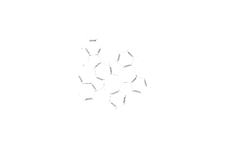 C=Cc1c(/C=C\C)n(-c2cccc3c2sc2ccccc23)c2c3sc4ccccc4c3c3c4ncncc4sc3c12